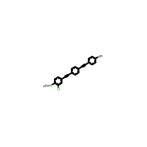 CCCCCc1ccc(C#Cc2ccc(C#Cc3ccc(CCC)cc3)cc2)cc1Cl